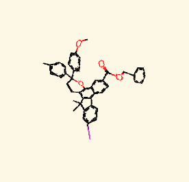 COc1ccc(C2(c3ccc(C)cc3)C=Cc3c4c(c5ccc(C(=O)OCc6ccccc6)cc5c3O2)-c2ccc(I)cc2C4(C)C)cc1